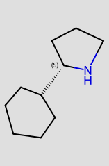 C1CCC([C@@H]2CCCN2)CC1